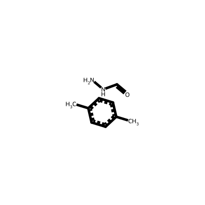 Cc1ccc(C)cc1.NNC=O